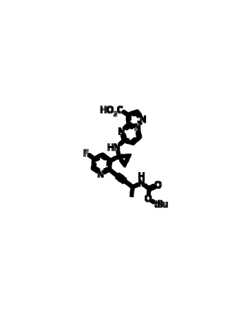 CC(C#Cc1ncc(F)cc1C1(Nc2ccn3ncc(C(=O)O)c3n2)CC1)NC(=O)OC(C)(C)C